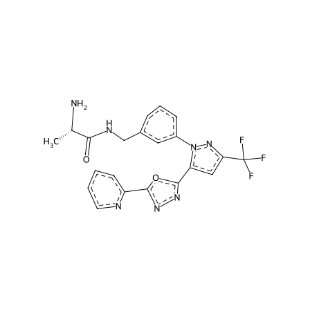 C[C@H](N)C(=O)NCc1cccc(-n2nc(C(F)(F)F)cc2-c2nnc(-c3ccccn3)o2)c1